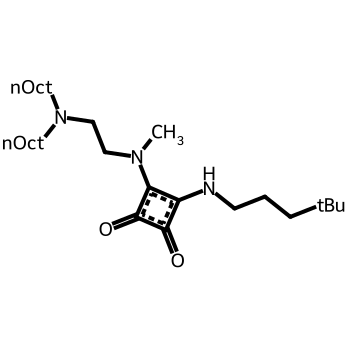 CCCCCCCCN(CCCCCCCC)CCN(C)c1c(NCCCC(C)(C)C)c(=O)c1=O